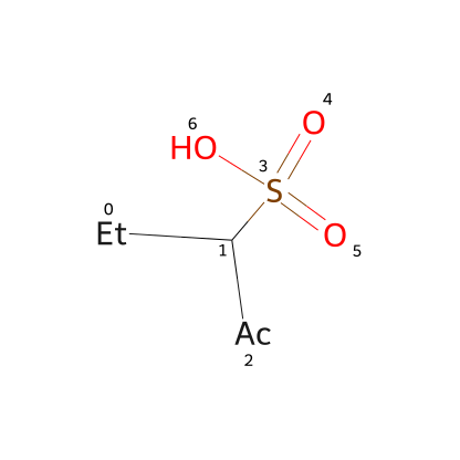 [CH2]CC(C(C)=O)S(=O)(=O)O